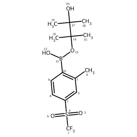 Cc1cc(S(=O)(=O)C(F)(F)F)ccc1B(O)OC(C)(C)C(C)(C)O